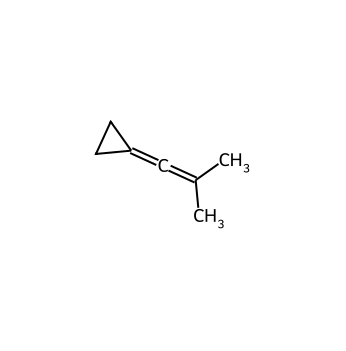 CC(C)=C=C1CC1